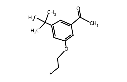 CC(=O)c1cc(OCCF)cc(C(C)(C)C)c1